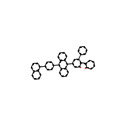 c1ccc(-c2cc(-c3c4ccccc4c(-c4ccc(-c5cccc6ccccc56)cc4)c4ccccc34)cc3oc4ccccc4c23)cc1